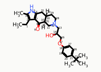 CCc1c(C)[nH]c2c1C(=O)[C@@H]1CN(CC(O)COc3ccc(C(C)(C)C)cc3)CC[C@H]1C2